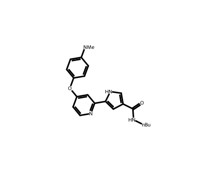 CCCCNC(=O)c1c[nH]c(-c2cc(Oc3ccc(NC)cc3)ccn2)c1